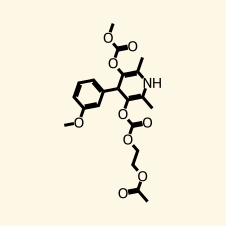 COC(=O)OC1=C(C)NC(C)=C(OC(=O)OCCOC(C)=O)C1c1cccc(OC)c1